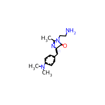 CC1=N/C(=C\c2ccc(N(C)C)cc2)C(=O)N1CCN